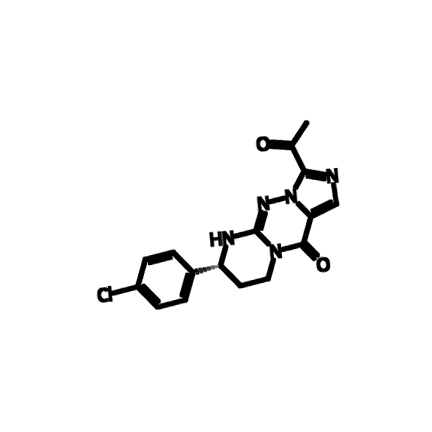 CC(=O)c1ncc2c(=O)n3c(nn12)N[C@@H](c1ccc(Cl)cc1)CC3